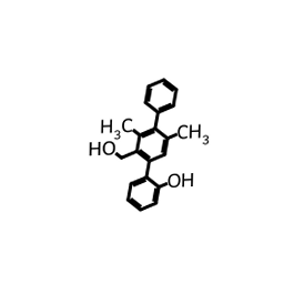 Cc1cc(-c2ccccc2O)c(CO)c(C)c1-c1ccccc1